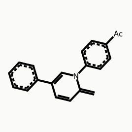 C=C1C=CC(c2ccccc2)=CN1c1ccc(C(C)=O)cc1